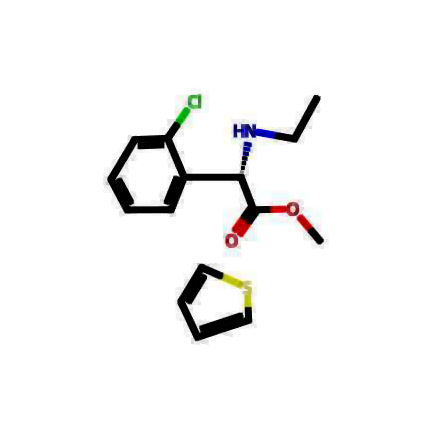 CCN[C@H](C(=O)OC)c1ccccc1Cl.c1ccsc1